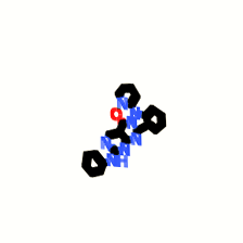 O=c1c2cnc(Nc3ccccc3)nc2nc2c3ccccc3n(-c3ccccn3)n12